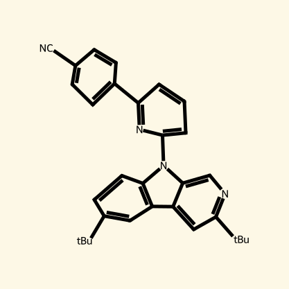 CC(C)(C)c1ccc2c(c1)c1cc(C(C)(C)C)ncc1n2-c1cccc(-c2ccc(C#N)cc2)n1